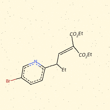 CCOC(=O)C(=CC(CC)c1ccc(Br)cn1)C(=O)OCC